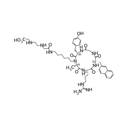 C[C@@H]1C(=O)N[C@@H](CCCNC(=N)N)C(=O)N[C@@H](Cc2ccc3ccccc3c2)C(=O)NCC(=O)N[C@H](Cc2ccc(O)cc2)C(=O)N1CCCCCCNC(=O)CNCCNCC(=O)O